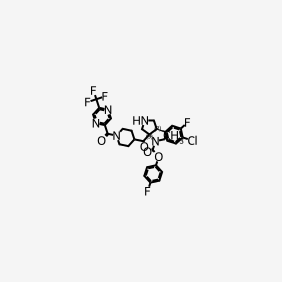 CCN(C(=O)Oc1ccc(F)cc1)[C@]1(C(=O)C2CCN(C(=O)c3cnc(C(F)(F)F)cn3)CC2)CNC[C@H]1c1ccc(Cl)c(F)c1